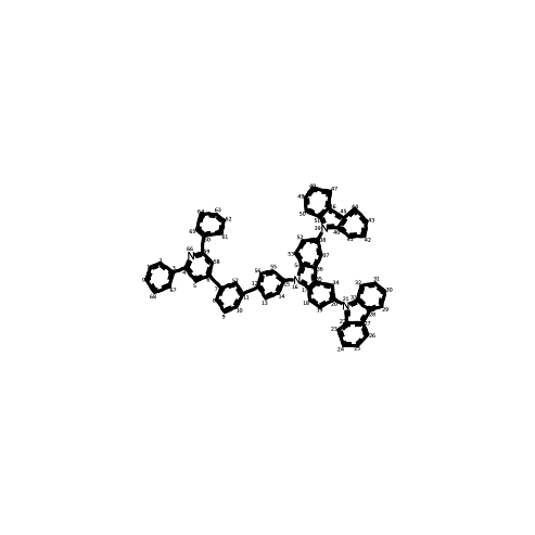 c1ccc(-c2cc(-c3cccc(-c4ccc(-n5c6ccc(-n7c8ccccc8c8ccccc87)cc6c6cc(-n7c8ccccc8c8ccccc87)ccc65)cc4)c3)cc(-c3ccccc3)n2)cc1